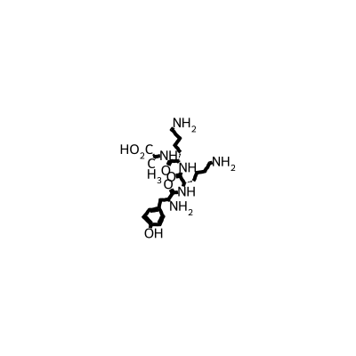 C[C@H](NC(=O)[C@H](CCCCN)NC(=O)[C@H](CCCCN)NC(=O)[C@@H](N)Cc1ccc(O)cc1)C(=O)O